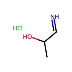 CC(O)C=N.Cl